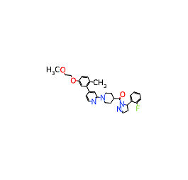 COCCOc1ccc(C)c(-c2ccnc(N3CCC(C(=O)N4N=CCC4c4ccccc4F)CC3)c2)c1